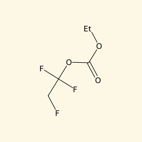 CCOC(=O)OC(F)(F)CF